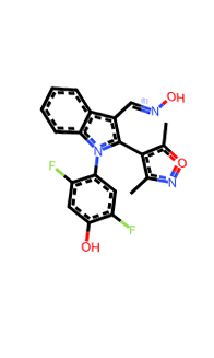 Cc1noc(C)c1-c1c(/C=N/O)c2ccccc2n1-c1cc(F)c(O)cc1F